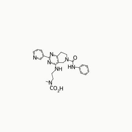 CN(CCNc1nc(-c2cccnc2)nc2c1CN(C(=O)Nc1ccccc1)CC2)C(=O)O